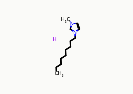 CCCCCCCCCN1C=CN(C)C1.I